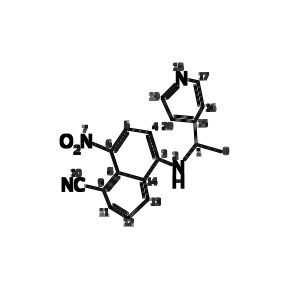 CC(Nc1ccc([N+](=O)[O-])c2c(C#N)cccc12)c1ccncc1